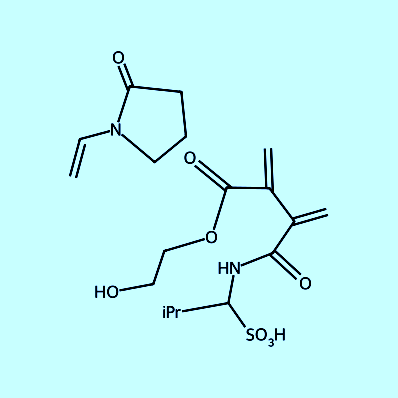 C=C(C(=C)C(=O)OCCO)C(=O)NC(C(C)C)S(=O)(=O)O.C=CN1CCCC1=O